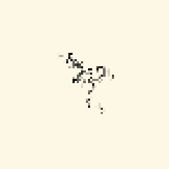 CCCCCC(C)(CC)SC(=S)OCC